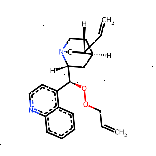 C=CCOO[C@@H](c1ccnc2ccccc12)[C@H]1C[C@@H]2CCN1C[C@@H]2C=C